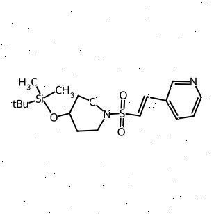 CC(C)(C)[Si](C)(C)OC1CCN(S(=O)(=O)C=Cc2cccnc2)CC1